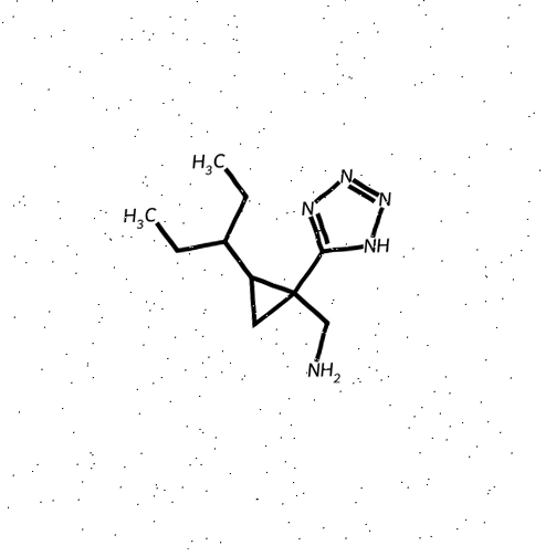 CCC(CC)C1CC1(CN)c1nnn[nH]1